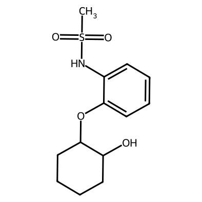 CS(=O)(=O)Nc1ccccc1OC1CCCCC1O